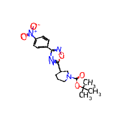 CC(C)(C)OC(=O)N1CCCC(c2nc(-c3ccc([N+](=O)[O-])cc3)no2)C1